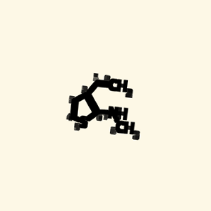 C=Cc1ccsc1NC